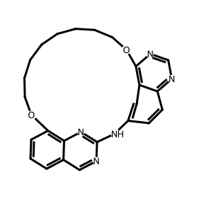 c1cc2c3nc(ncc3c1)Nc1ccc3ncnc(c3c1)OCCCCCCCCO2